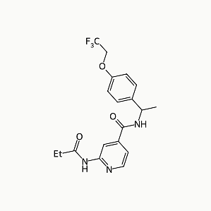 CCC(=O)Nc1cc(C(=O)NC(C)c2ccc(OCC(F)(F)F)cc2)ccn1